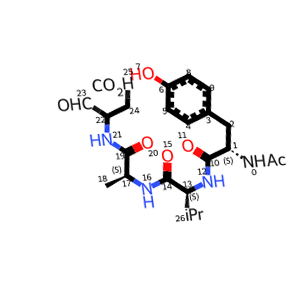 CC(=O)N[C@@H](Cc1ccc(O)cc1)C(=O)N[C@H](C(=O)N[C@@H](C)C(=O)NC(C=O)CC(=O)O)C(C)C